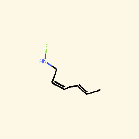 CC=C/C=C\CNF